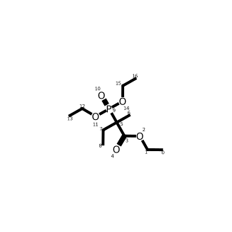 CCOC(=O)C(C)(CC)P(=O)(OCC)OCC